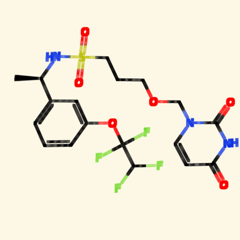 C[C@@H](NS(=O)(=O)CCCOCn1ccc(=O)[nH]c1=O)c1cccc(OC(F)(F)C(F)F)c1